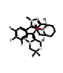 Cc1nn2c(c1C(=O)N1[C@H]3CCC[C@@H]1c1nn(C)c(-c4cc(F)c(F)c(F)c4)c1C3)COC(C)(C)C2